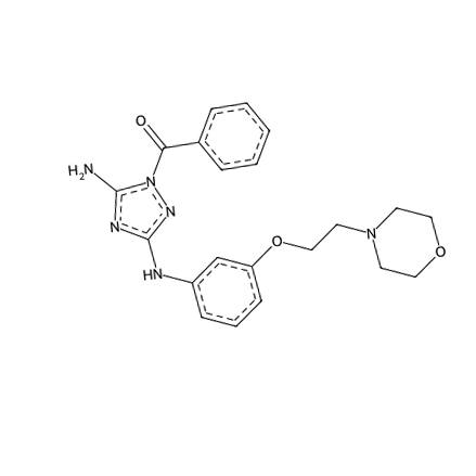 Nc1nc(Nc2cccc(OCCN3CCOCC3)c2)nn1C(=O)c1ccccc1